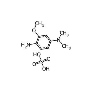 COc1cc(N(C)C)ccc1N.O=S(=O)(O)O